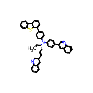 C=C[C@@H](C/C=C/C1C=c2ccccc2=NC1)N(C1=CC=C(C2=CC=CC3c4ccccc4SC23)CC1)c1ccc(-c2cnc3c#cccc3c2)cc1